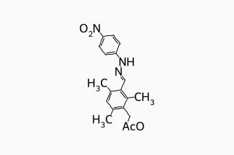 CC(=O)OCc1c(C)cc(C)c(/C=N/Nc2ccc([N+](=O)[O-])cc2)c1C